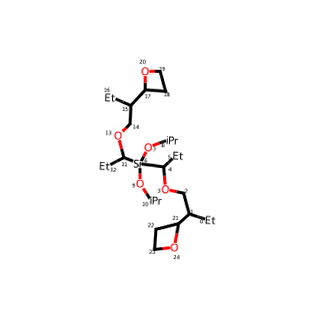 CCC(COC(CC)[Si](OC(C)C)(OC(C)C)C(CC)OCC(CC)C1CCO1)C1CCO1